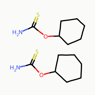 NC(=S)OC1CCCCC1.NC(=S)OC1CCCCC1